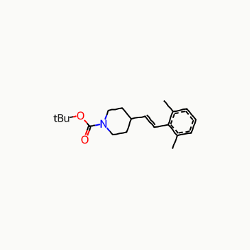 Cc1cccc(C)c1/C=C/C1CCN(C(=O)OC(C)(C)C)CC1